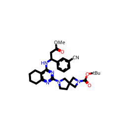 COC(=O)CC(Nc1nc(N2CCC3(CN(C(=O)OC(C)(C)C)C3)C2)nc2c1CCCC2)c1cccc(C#N)c1